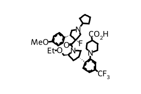 CCOC[C@@H]1C[C@@H](c2ccc(C(F)(F)F)cc2N2CCC(C(=O)O)CC2)CN1C(=O)[C@]1(F)CN(C2CCCC2)C[C@H]1c1ccc(OC)cc1